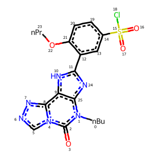 CCCCn1c(=O)n2cnnc2c2[nH]c(-c3cc(S(=O)(=O)Cl)ccc3OCCC)nc21